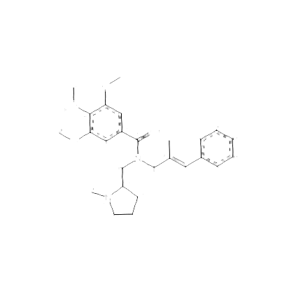 COc1cc(C(=O)N(C/C(C)=C/c2ccccc2)CC2CCCN2C)cc(OC)c1OC